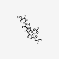 CC[C@H](C)CC(=O)N(C)[C@H](C[C@@H](OC(C)=O)c1nc(C(=O)NCC[C@H](C)C(=O)O)cs1)C(C)C